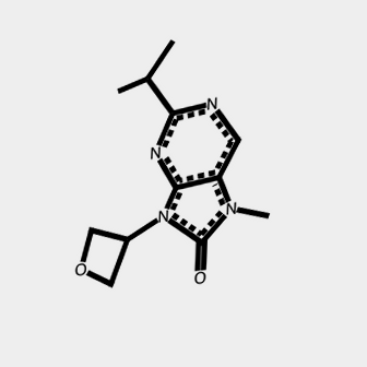 CC(C)c1ncc2c(n1)n(C1COC1)c(=O)n2C